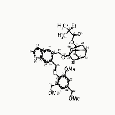 CCC(C)(C)C(=O)OC12CC3CC(CC(OCc4cc5ccoc5cc4COc4c(COC)cc(COC)cc4OC)(C3)C1)C2